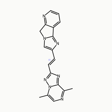 Cc1ncc(C)n2nc(/C=C/c3cn4c(n3)-c3cccnc3C4)nc12